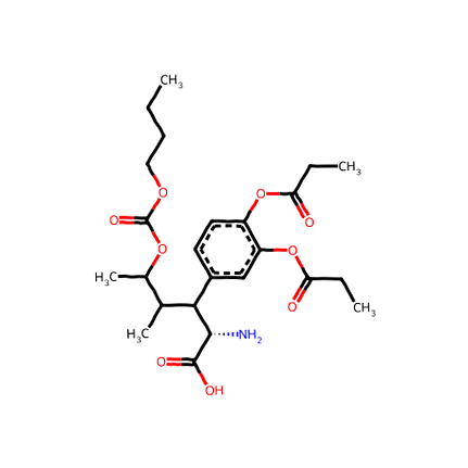 CCCCOC(=O)OC(C)C(C)C(c1ccc(OC(=O)CC)c(OC(=O)CC)c1)[C@H](N)C(=O)O